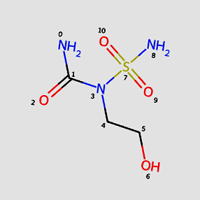 NC(=O)N(CCO)S(N)(=O)=O